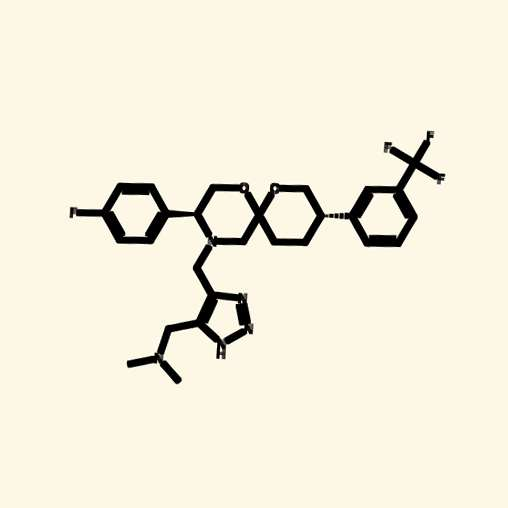 CN(C)Cc1[nH]nnc1CN1CC2(CC[C@@H](c3cccc(C(F)(F)F)c3)CO2)OC[C@@H]1c1ccc(F)cc1